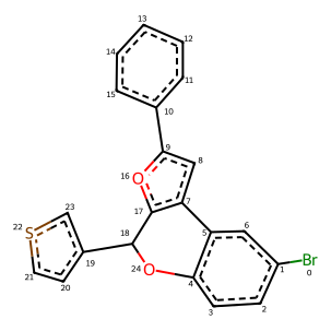 Brc1ccc2c(c1)-c1cc(-c3ccccc3)oc1C(c1ccsc1)O2